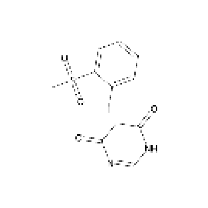 CS(=O)(=O)c1ccccc1I.O=C1CC(=O)NC=N1